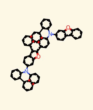 c1ccc(-c2ccccc2N(c2ccccc2)c2ccc3c(c2)oc2c4ccc(N(c5ccc6c(c5)oc5ccccc56)c5ccccc5-c5ccccc5)cc4c4ccccc4c32)cc1